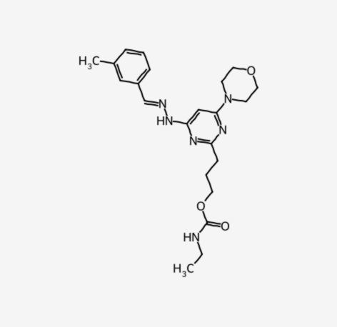 CCNC(=O)OCCCc1nc(NN=Cc2cccc(C)c2)cc(N2CCOCC2)n1